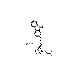 CN(C)CCC1C(=CCOc2ccc3c(c2)[nH]c2ccccc23)N2CCC1CC2.Cl.Cl